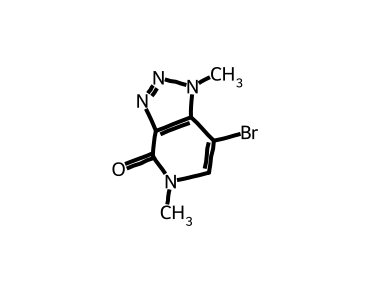 Cn1cc(Br)c2c(nnn2C)c1=O